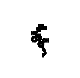 CC1(O)CC(Nc2nnc(-c3ccc(C#CCF)cc3O)c3c2CCCC3)C1